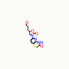 O=CCCC1CN(c2ccc3c(n2)NC(=O)CS3)C(=O)O1